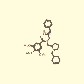 COc1cc(C(=O)N(C/C(C)=C/c2ccccc2)CC2CCCN2CC2CC=CCC2)cc(OC)c1OC